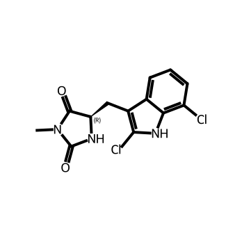 CN1C(=O)N[C@H](Cc2c(Cl)[nH]c3c(Cl)cccc23)C1=O